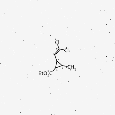 CCOC(=O)C1C(C)C1C=C(Cl)Cl